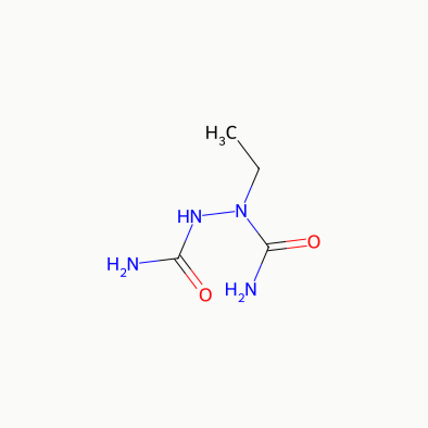 CCN(NC(N)=O)C(N)=O